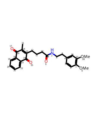 COc1ccc(CCNC(=O)CCCC2=C(C)C(=O)c3ccccc3C2=O)cc1OC